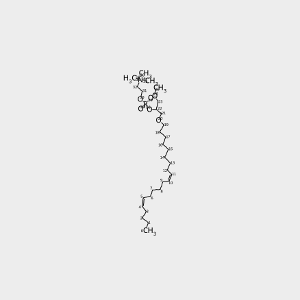 CCCC/C=C\CCCC/C=C\CCCCCCCCOC[C@H](COC)OP(=O)([O-])OCC[N+](C)(C)C